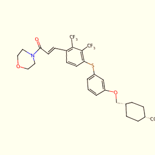 O=C(C=Cc1ccc(Sc2cccc(OC[C@H]3CC[C@@H](C(=O)O)CC3)c2)c(C(F)(F)F)c1C(F)(F)F)N1CCOCC1